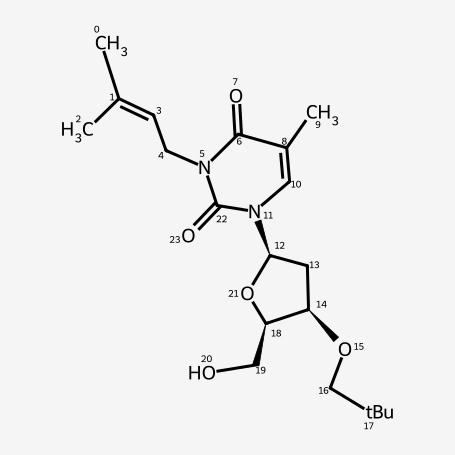 CC(C)=CCn1c(=O)c(C)cn([C@H]2C[C@@H](OCC(C)(C)C)[C@@H](CO)O2)c1=O